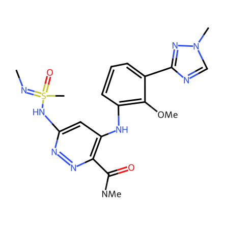 CN=S(C)(=O)Nc1cc(Nc2cccc(-c3ncn(C)n3)c2OC)c(C(=O)NC)nn1